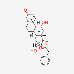 C[C@]12C=CC(=O)C=C1CC[C@@H]1[C@@H]2[C@@H](O)C[C@@]2(C)[C@H]1C[C@H]1O[C@H](Cc3ccccc3)O[C@]12C(=O)CO